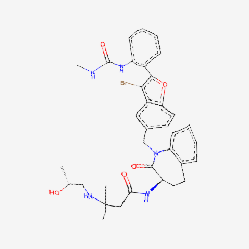 CNC(=O)Nc1ccccc1-c1oc2ccc(CN3C(=O)[C@H](NC(=O)CC(C)(C)NC[C@@H](C)O)CCc4ccccc43)cc2c1Br